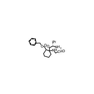 CC(C)[C@H](N)C(=O)C1(NCC=O)CCCCC1C(=O)OCc1ccccc1